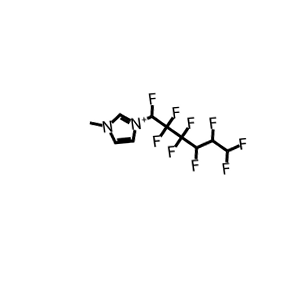 Cn1cc[n+](C(F)C(F)(F)C(F)(F)C(F)C(F)C(F)F)c1